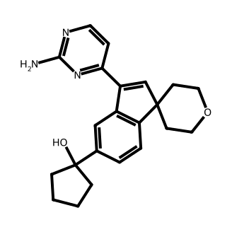 Nc1nccc(C2=CC3(CCOCC3)c3ccc(C4(O)CCCC4)cc32)n1